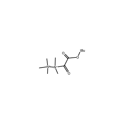 CC(C)(C)OC(=O)C(=O)[N+](C)(C)[N+](C)(C)C